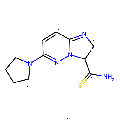 NC(=S)C1CN=C2C=CC(N3CCCC3)=NN21